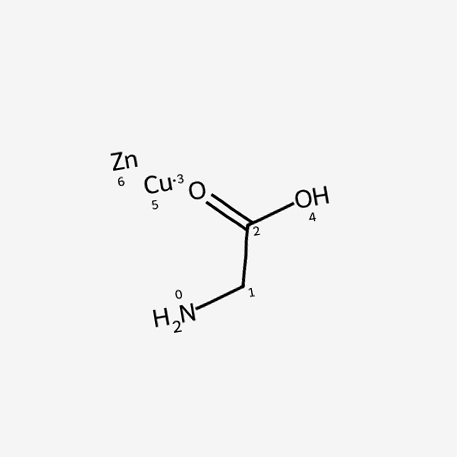 NCC(=O)O.[Cu].[Zn]